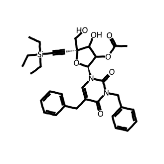 CC[Si](C#C[C@@]1(CO)O[C@H](n2cc(Cc3ccccc3)c(=O)n(Cc3ccccc3)c2=O)C(OC(C)=O)C1O)(CC)CC